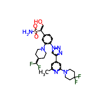 Cc1cc(-c2cn(-c3ccc(C(=CO)S(N)(=O)=O)cc3N3CCC(=C(F)F)CC3)nn2)cc(N2CCC(F)(F)CC2)n1